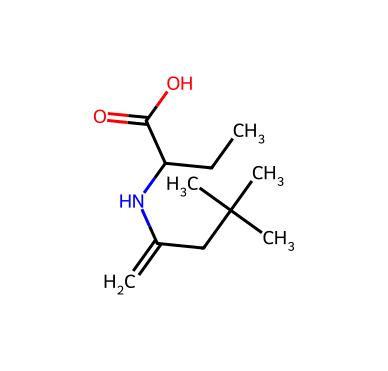 C=C(CC(C)(C)C)NC(CC)C(=O)O